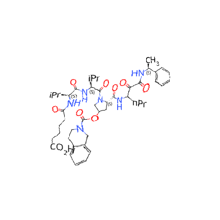 CCCC(NC(=O)[C@@H]1CC(OC(=O)N2CCc3ccccc3C2)CN1C(=O)[C@@H](NC(=O)[C@@H](NC(=O)CCCCC(=O)O)C(C)C)C(C)C)C(=O)C(=O)N[C@@H](C)c1ccccc1